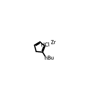 CCCCC1=CC=CC1.Cl.[Zr]